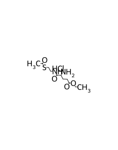 CCOC(=O)CCC(N)C(=O)NCCSC(C)=O.Cl